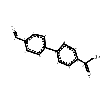 O=Cc1ccc(-c2ccc(C(=O)Cl)cc2)cc1